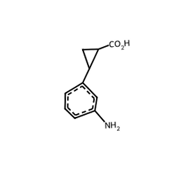 Nc1cccc(C2CC2C(=O)O)c1